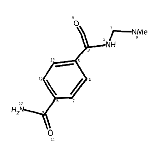 CNCNC(=O)c1ccc(C(N)=O)cc1